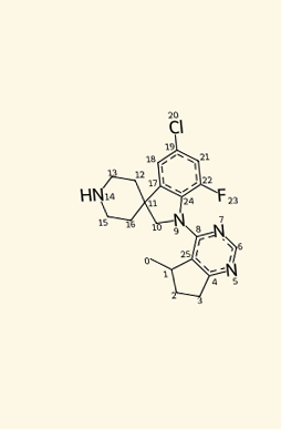 CC1CCc2ncnc(N3CC4(CCNCC4)c4cc(Cl)cc(F)c43)c21